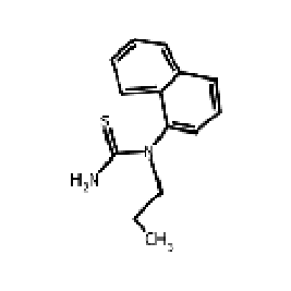 CCCN(C(N)=S)c1cccc2ccccc12